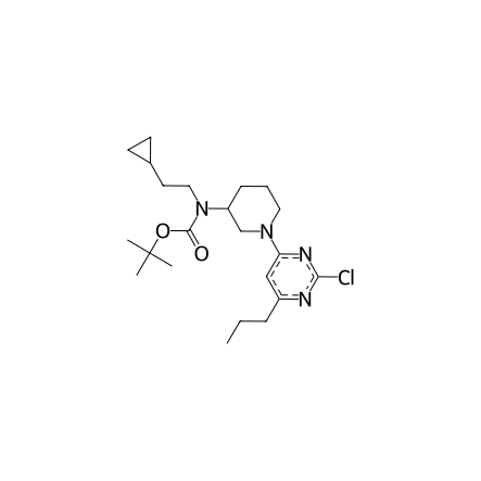 CCCc1cc(N2CCCC(N(CCC3CC3)C(=O)OC(C)(C)C)C2)nc(Cl)n1